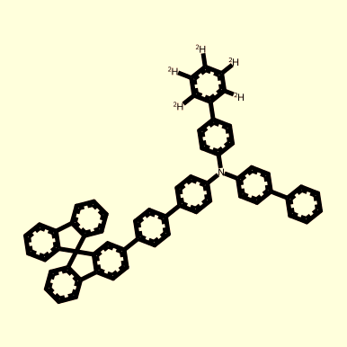 [2H]c1c([2H])c([2H])c(-c2ccc(N(c3ccc(-c4ccccc4)cc3)c3ccc(-c4ccc(-c5ccc6c(c5)C5(c7ccccc7-c7ccccc75)c5ccccc5-6)cc4)cc3)cc2)c([2H])c1[2H]